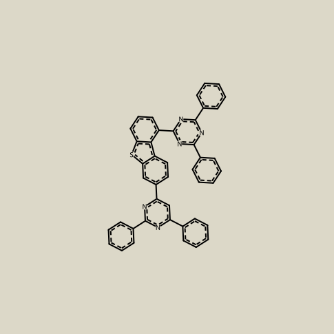 c1ccc(-c2cc(-c3ccc4c(c3)sc3cccc(-c5nc(-c6ccccc6)nc(-c6ccccc6)n5)c34)nc(-c3ccccc3)n2)cc1